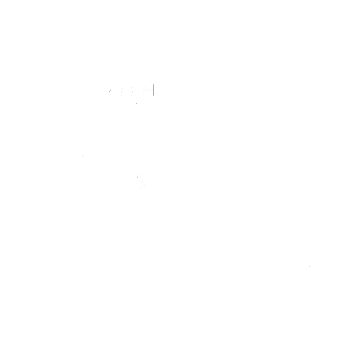 O=C(O)C1CCCC1Sc1ccc(-c2ccc(C3CC3)c3ccccc23)s1